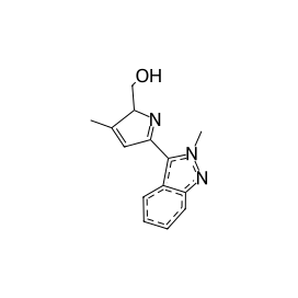 CC1=CC(c2c3ccccc3nn2C)=NC1CO